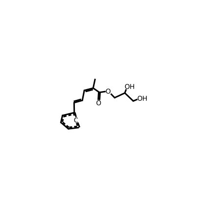 CC(=CC=Cc1ccccc1)C(=O)OCC(O)CO